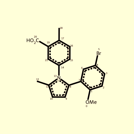 COc1ccc(Br)cc1-c1ccc(C)n1-c1ccc(C)c(C(=O)O)c1